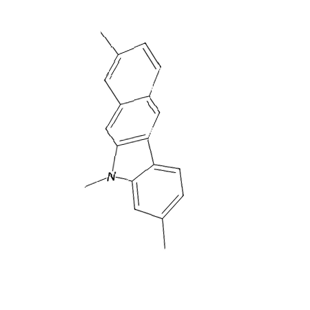 Cc1ccc2cc3c4ccc(C)cc4n(C)c3cc2c1